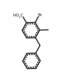 Cc1c(Cc2ccccc2)ccc(C(=O)O)c1Br